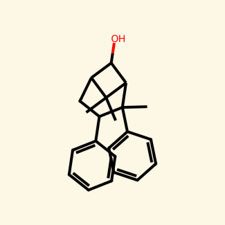 CC1(C)C2CC(c3ccccc3)C(C)(c3ccccc3)C1C2O